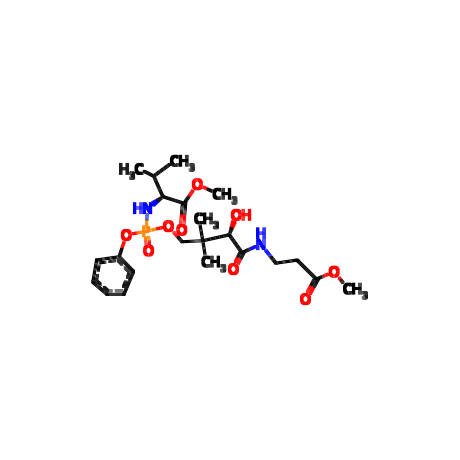 COC(=O)CCNC(=O)[C@H](O)C(C)(C)COP(=O)(N[C@H](C(=O)OC)C(C)C)Oc1ccccc1